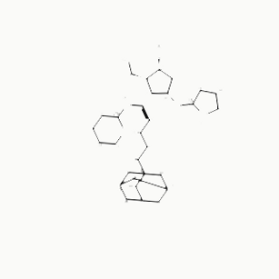 O=C(O)C[C@@H]1[C@@H](C(=CCCCC23CC4CC(CC(C4)C2)C3)OC2CCCCO2)[C@H](OC2CCCO2)C[C@@H]1O